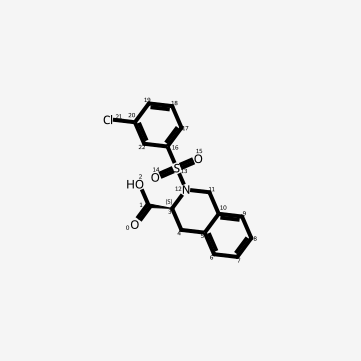 O=C(O)[C@@H]1Cc2ccccc2CN1S(=O)(=O)c1cccc(Cl)c1